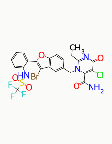 CCc1nc(=O)c(Cl)c(C(N)=O)n1Cc1ccc2oc(-c3ccccc3NS(=O)(=O)C(F)(F)F)c(Br)c2c1